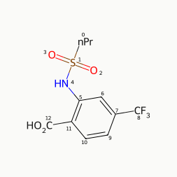 CCCS(=O)(=O)Nc1cc(C(F)(F)F)ccc1C(=O)O